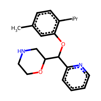 Cc1ccc(C(C)C)c(OC(c2ccccn2)C2CNCCO2)c1